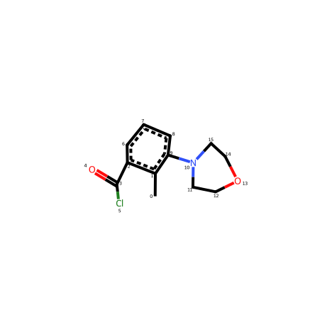 Cc1c(C(=O)Cl)cccc1N1CCOCC1